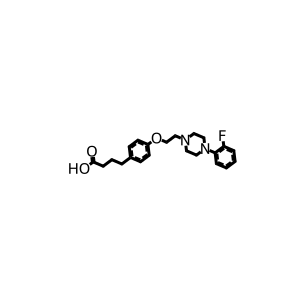 O=C(O)CCCc1ccc(OCCN2CCN(c3ccccc3F)CC2)cc1